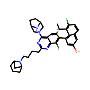 CCc1c(F)ccc2cc(O)cc(-c3c(Cl)cc4c(N5CC6CCC(C5)N6)nc(CCCCN5C6CCCC5C6)nc4c3F)c12